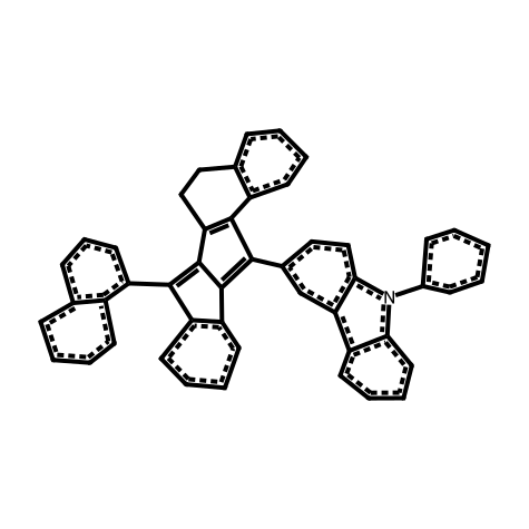 c1ccc(-n2c3ccccc3c3cc(C4=C5C(=C(c6cccc7ccccc67)c6ccccc65)C5=C4c4ccccc4CC5)ccc32)cc1